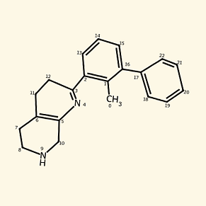 Cc1c(C2=NC3=C(CCNC3)CC2)cccc1-c1ccccc1